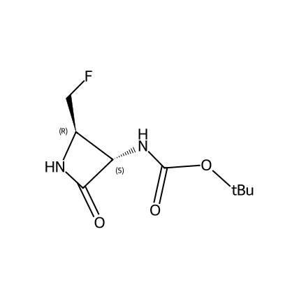 CC(C)(C)OC(=O)N[C@@H]1C(=O)N[C@H]1CF